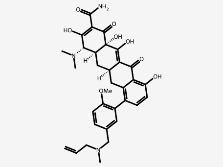 C=CCN(C)Cc1ccc(OC)c(-c2ccc(O)c3c2C[C@H]2C[C@H]4[C@H](N(C)C)C(O)=C(C(N)=O)C(=O)[C@@]4(O)C(O)=C2C3=O)c1